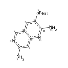 CCCCCc1cc2cnc(N)cc2nc1N